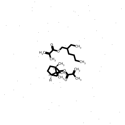 C=C(C)C(=O)OC1C[C@H]2CC[C@@]1(C)C2(C)C.C=C(C)C(=O)OCC(CC)CCCC